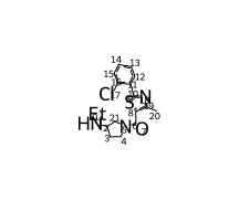 CCNC1CCN(C(=O)c2sc(-c3ccccc3Cl)nc2C)C1